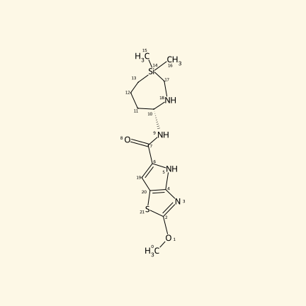 COc1nc2[nH]c(C(=O)N[C@@H]3CCC[Si](C)(C)CN3)cc2s1